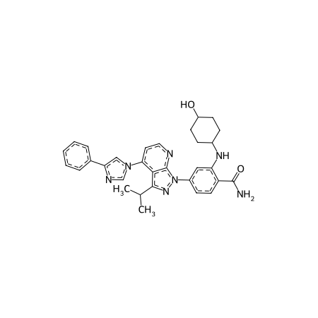 CC(C)c1nn(-c2ccc(C(N)=O)c(NC3CCC(O)CC3)c2)c2nccc(-n3cnc(-c4ccccc4)c3)c12